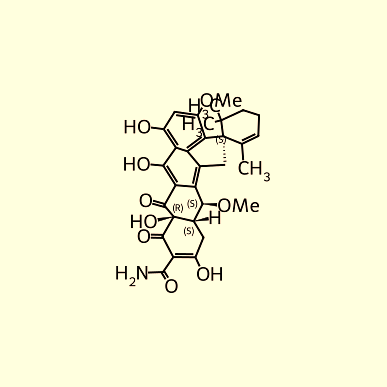 COc1cc(O)c2c(O)c3c(c4c2c1[C@]1(C4)C(C)=CCCC1(C)C)[C@@H](OC)[C@@H]1CC(O)=C(C(N)=O)C(=O)[C@]1(O)C3=O